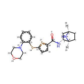 O=C(N[C@@H]1C[C@H]2CC[C@@H]1N2)c1ccc(Sc2ccccc2N2CCOCC2)s1